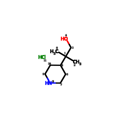 CC(C)(CO)C1CCNCC1.Cl